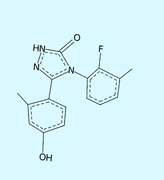 Cc1cc(O)ccc1-c1n[nH]c(=O)n1-c1cccc(C)c1F